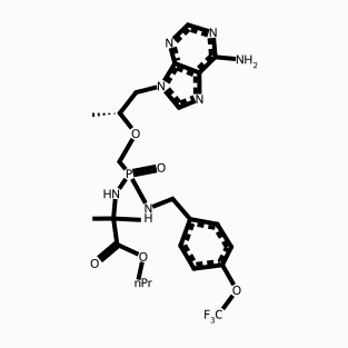 CCCOC(=O)C(C)(C)NP(=O)(CO[C@H](C)Cn1cnc2c(N)ncnc21)NCc1ccc(OC(F)(F)F)cc1